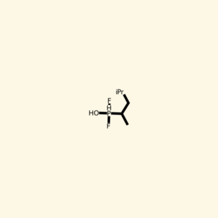 CC(C)CC(C)[PH](O)(F)F